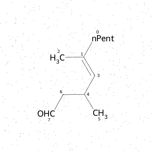 CCCCCC(C)=CC(C)CC=O